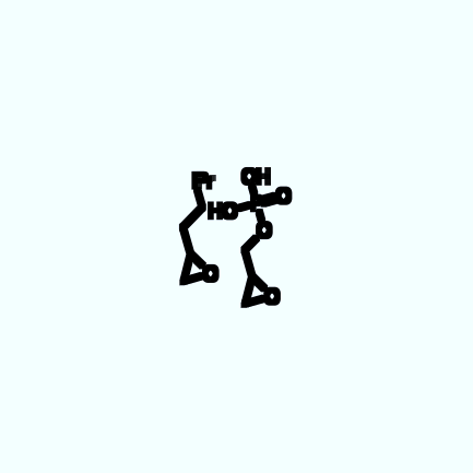 CC(C)CCC1CO1.O=P(O)(O)OCC1CO1